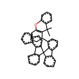 CC1(C)C2=C(C=CCC2c2cccc3c2C2(c4ccccc4-3)c3ccccc3-c3c2ccc2ccccc32)Oc2ccccc21